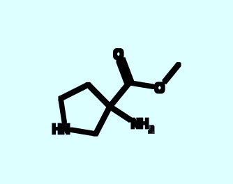 COC(=O)C1(N)CCNC1